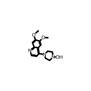 COc1cc2nccc(N3CCN(O)CC3)c2cc1OC